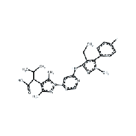 CCc1c(Nc2cc(-n3nc(C)c(C(C(=O)O)C(C)C)c3C)ncn2)nn(C)c1-c1ccc(F)cc1